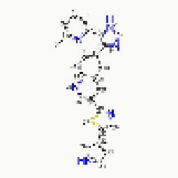 Cc1cccc(-c2[nH]cnc2-c2ccc3ncc(-c4ncc(C5=CCNC5)s4)cc3c2)n1